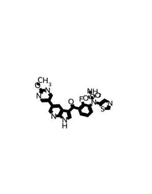 COc1ncc(-c2cnc3[nH]cc(C(=O)c4cccc(N(c5cncs5)S(N)(=O)=O)c4F)c3c2)cn1